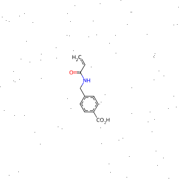 C=CC(=O)NCc1ccc(C(=O)O)cc1